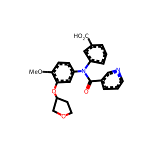 COc1ccc(N(C(=O)c2cccnc2)c2cccc(C(=O)O)c2)cc1OC1CCOC1